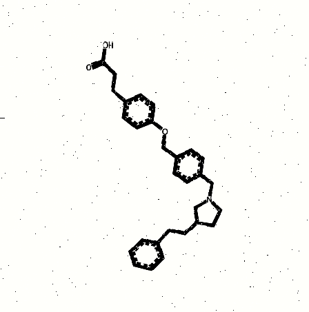 O=C(O)CCc1ccc(OCc2ccc(CN3CCC(CCc4ccccc4)C3)cc2)cc1